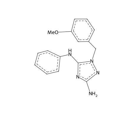 COc1cccc(Cn2nc(N)nc2Nc2ccccc2)c1